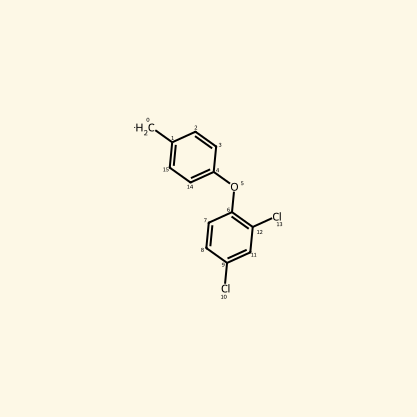 [CH2]c1ccc(Oc2ccc(Cl)cc2Cl)cc1